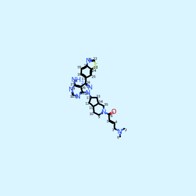 CN(C)CC=CC(=O)N1CCC2CC(n3nc(-c4ccc5ncsc5c4)c4c(N)ncnc43)CC2C1